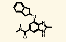 Cc1nc2c(OC3Cc4ccccc4C3)cc(C(=O)N(C)C)cc2[nH]1